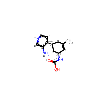 CC1=C[C@@H](NC(=O)O)C[C@@H](c2ccncc2N)C1